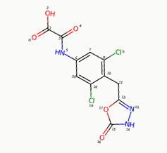 O=C(O)C(=O)Nc1cc(Cl)c(Cc2n[nH]c(=O)o2)c(Cl)c1